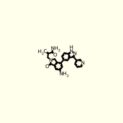 C=C(CN1Cc2c(cc(N)cc2-c2ccc3[nH]nc(-c4cccnc4)c3c2)C1=O)C(N)=O